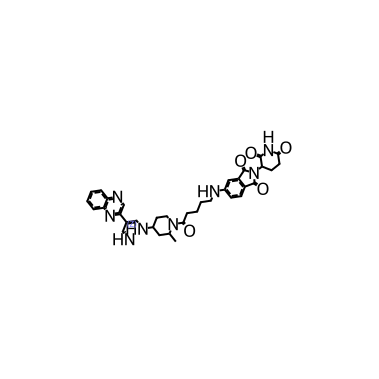 CC1CC(N/C=C(\C=N)c2cnc3ccccc3n2)CCN1C(=O)CCCCNc1ccc2c(c1)C(=O)N(C1CCC(=O)NC1=O)C2=O